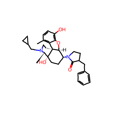 Cc1ccc(O)c2c1[C@]13CCN(CC4CC4)[C@H](C)[C@]1(O)CC[C@H](N1CCC(Cc4ccccc4)C1=O)[C@@H]3O2